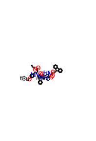 C=CCOC(=O)CC(Cc1ccc(OC(C)(C)C)cc1)NC(=O)N(Cc1ccccc1)NC(=O)CCC(NC(=O)OCC1c2ccccc2-c2ccccc21)C(=O)OC